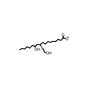 CCCCCC[C@@H](O)CC(CCCCCCCCC(=O)OC)SCCO